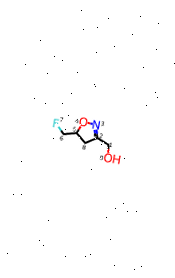 OCC1=NOC(CF)C1